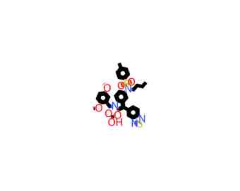 CCCCN(c1ccc2c(c1)c(-c1ccc3nsnc3c1)c(OC(=O)O)n2Cc1cc(OC)ccc1OC)S(=O)(=O)c1ccc(C)cc1